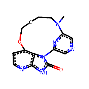 CN1CCCCOc2ccnc3[nH]c(=O)n(c23)-c2cncc1n2